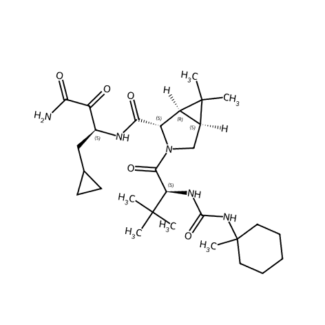 CC1(NC(=O)N[C@H](C(=O)N2C[C@H]3[C@@H]([C@H]2C(=O)N[C@@H](CC2CC2)C(=O)C(N)=O)C3(C)C)C(C)(C)C)CCCCC1